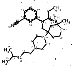 CCC(=O)N(CC1(N2CCN(CCOC(C)C)CC2)CCOC(C)(C)C1)c1cccc(C#N)n1